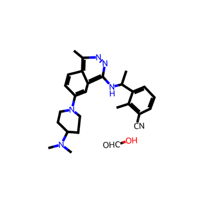 Cc1c(C#N)cccc1C(C)Nc1nnc(C)c2ccc(N3CCC(N(C)C)CC3)cc12.O=CO